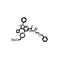 COCC1CCN(c2cc(C(=O)N[S+]([O-])CCOCc3ccccc3)nc3c2c(C2CCC2)nn3-c2ccccc2)CC1